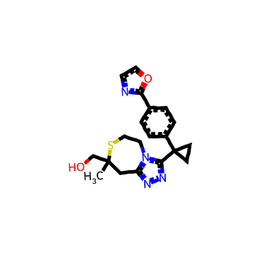 CC1(CO)Cc2nnc(C3(c4ccc(-c5ncco5)cc4)CC3)n2CCS1